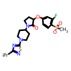 CC(C)c1nsc(N2CCC(N3CCC(Oc4ccc(S(C)(=O)=O)c(F)c4)C3=O)CC2)n1